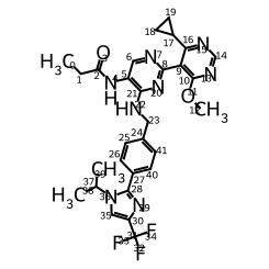 CCC(=O)Nc1cnc(-c2c(OC)ncnc2C2CC2)nc1NCc1ccc(-c2nc(C(F)(F)F)cn2C(C)C)cc1